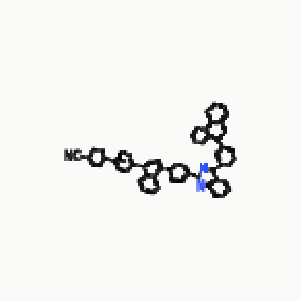 N#Cc1ccc(-c2ccc(-c3ccc(-c4ccc(-c5nc(-c6cccc(-c7cc8ccccc8c8ccccc78)c6)c6ccccc6n5)cc4)c4ccccc34)cc2)cc1